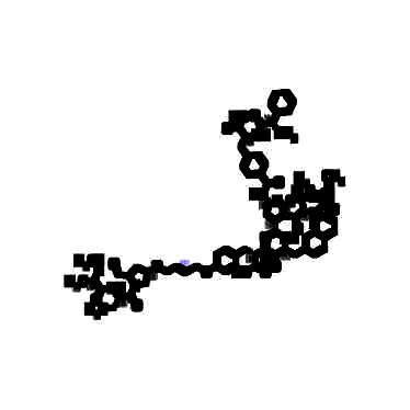 CC[C@H](NC(=O)[C@H](C)NC)C(=O)N1C[C@@H](OC/C=C/COc2ccc(C[C@H](NC(=O)[C@H](Cc3ccc4ccccc4c3)NC(=O)[C@@H]3C[C@H](NC(=O)c4ccc(C[C@H](NC(=O)[C@@H](N)c5ccccc5)C(=O)O)cc4)CN3C(=O)[C@@H](NC(=O)[C@H](C)NC)C(C)(C)C)C(=O)O)cc2)CC1C=O